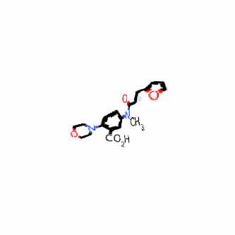 CN(C(=O)/C=C/c1ccco1)c1ccc(N2CCOCC2)c(C(=O)O)c1